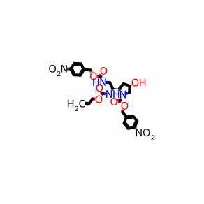 C=CCOC(=O)NC(CNC(=O)OCc1ccc([N+](=O)[O-])cc1)[C@@H]1C[C@@H](O)CN1C(=O)OCc1ccc([N+](=O)[O-])cc1